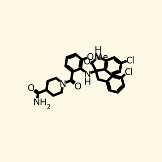 COc1cccc(C(=O)N2CCC(C(N)=O)CC2)c1NC1(Cc2cccc(Cl)c2)C(=O)Nc2cc(Cl)ccc21